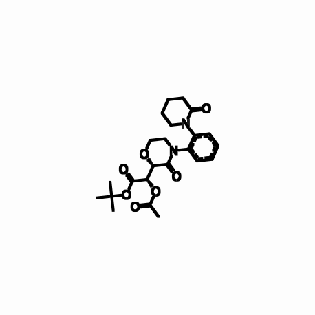 CC(=O)O[C@@H](C(=O)OC(C)(C)C)[C@H]1OCCN(c2ccccc2N2CCCCC2=O)C1=O